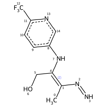 C/C(N=N)=C(\CO)Nc1ccc(C(F)(F)F)nc1